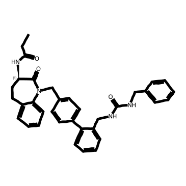 CCC(=O)N[C@@H]1CCc2ccccc2N(Cc2ccc(-c3ccccc3CNC(=O)NCc3ccccc3)cc2)C1=O